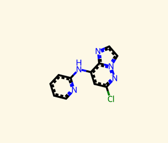 Clc1cc(Nc2ccccn2)c2nccn2n1